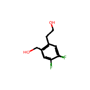 OCCc1cc(F)c(F)cc1CO